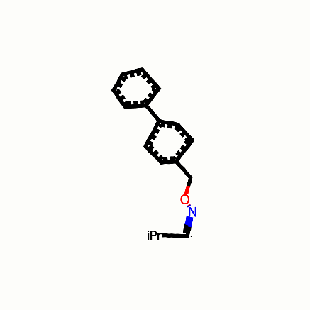 CC(C)/[C]=N\OCc1ccc(-c2ccccc2)cc1